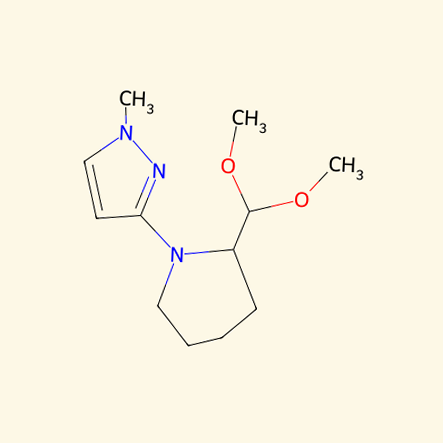 COC(OC)C1CCCCN1c1ccn(C)n1